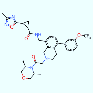 Cc1noc(C2CC2C(=O)NCc2ccc(-c3cccc(OC(F)(F)F)c3)c3c2CN(CC(=O)N2[C@H](C)COC[C@H]2C)CC3)n1